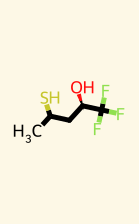 CC(S)C[C@@H](O)C(F)(F)F